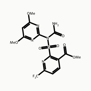 COC(=O)c1ccc(C(F)(F)F)nc1S(=O)(=O)N(C(N)=O)c1nc(OC)cc(OC)n1